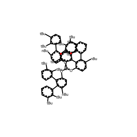 CCCCc1ccc(OP(Oc2ccc(CCCC)c(-c3cccc(C(C)(C)C)c3C(C)(C)C)c2-c2cccc(C(C)(C)C)c2C(C)(C)C)Oc2ccc(CCCC)c(-c3cccc(C(C)(C)C)c3C(C)(C)C)c2-c2cccc(C(C)(C)C)c2C(C)(C)C)c(-c2cccc(C(C)(C)C)c2C(C)(C)C)c1-c1cccc(C(C)(C)C)c1C(C)(C)C